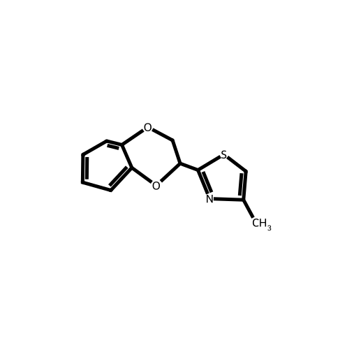 Cc1csc(C2COc3ccccc3O2)n1